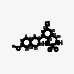 COc1ccc2cc(-c3cc(Cl)cc4c3NS(=O)(=O)NC4)ccc2c1